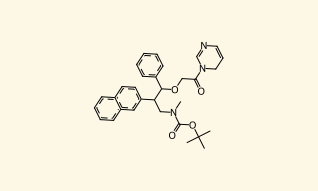 CN(CC(c1ccc2ccccc2c1)C(OCC(=O)N1C=NC=CC1)c1ccccc1)C(=O)OC(C)(C)C